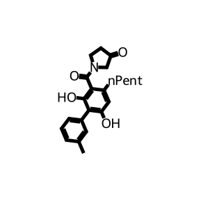 CCCCCc1cc(O)c(-c2cccc(C)c2)c(O)c1C(=O)N1CCC(=O)C1